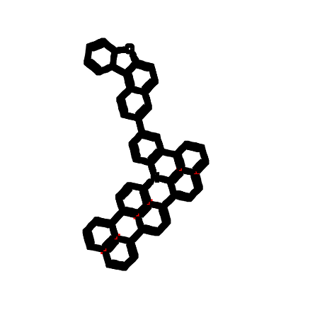 C1=CC2Oc3ccc4cc(-c5ccc(N(c6ccc(-c7ccccc7)cc6)c6ccccc6-c6ccc(-c7ccccc7)cc6)c(-c6ccccc6)c5)ccc4c3C2C=C1